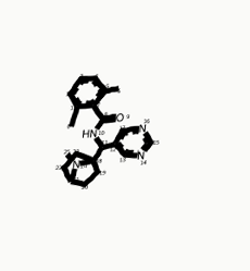 Cc1cccc(C)c1C(=O)NC(c1cncnc1)C12CCC(CC1)N2C